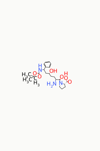 CC(C)(C)OC(=O)NC(CC(O)CC[C@H](N)C(=O)N1CCC[C@H]1C(=O)O)c1ccccc1